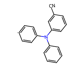 N#Cc1cccc(N(c2cc[c]cc2)c2ccccc2)c1